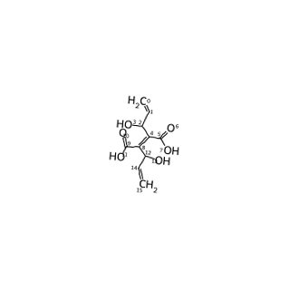 C=CC(O)C(C(=O)O)=C(C(=O)O)C(O)C=C